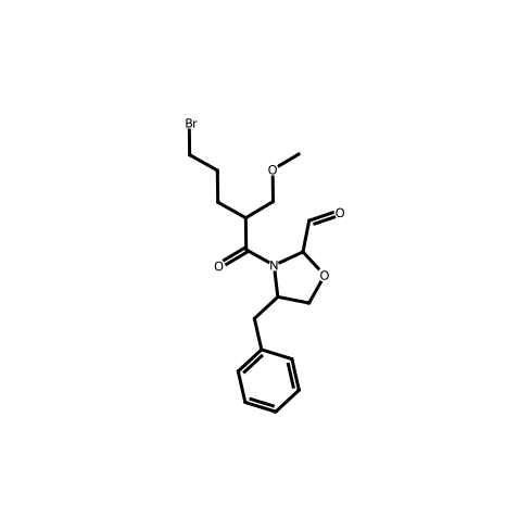 COCC(CCCBr)C(=O)N1C(Cc2ccccc2)COC1C=O